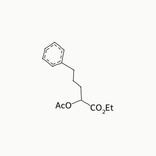 CCOC(=O)C(CCCc1ccccc1)OC(C)=O